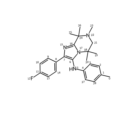 Cc1ccc(Nc2c(-c3ccc(F)cc3)nc3n2C(C)(C)CN(C)C3(C)C)cc1